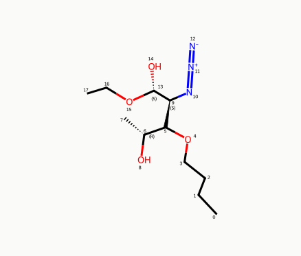 CCCCOC([C@@H](C)O)[C@H](N=[N+]=[N-])[C@@H](O)OCC